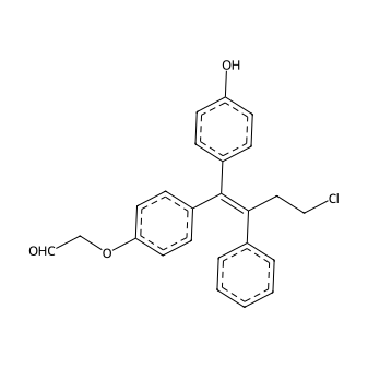 O=CCOc1ccc(/C(=C(/CCCl)c2ccccc2)c2ccc(O)cc2)cc1